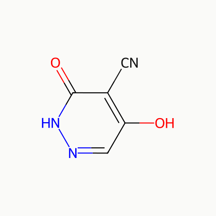 N#Cc1c(O)cn[nH]c1=O